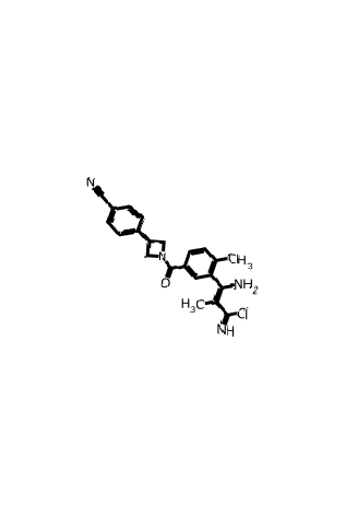 C/C(C(=N)Cl)=C(/N)c1cc(C(=O)N2CC(c3ccc(C#N)cc3)C2)ccc1C